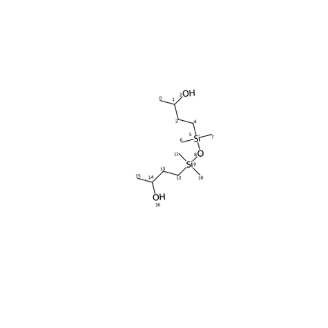 CC(O)CC[Si](C)(C)O[Si](C)(C)CCC(C)O